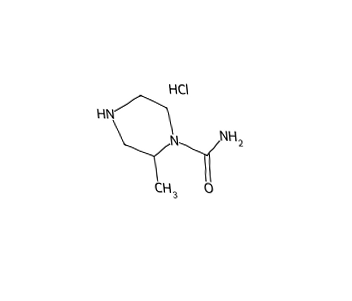 CC1CNCCN1C(N)=O.Cl